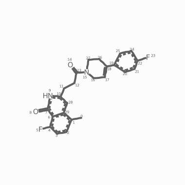 Cc1ccc(F)c2c(=O)[nH]c(CCC(=O)N3CC=C(c4ccc(F)cc4)CC3)cc12